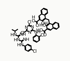 CC(C)NC(=N)NC(=N)Nc1ccc(Cl)cc1.Clc1nc(Cl)nc(Nc2ccccc2Cl)n1.O=C(O)c1cc2ccccc2c(Cc2c(O)c(C(=O)O)cc3ccccc23)c1O